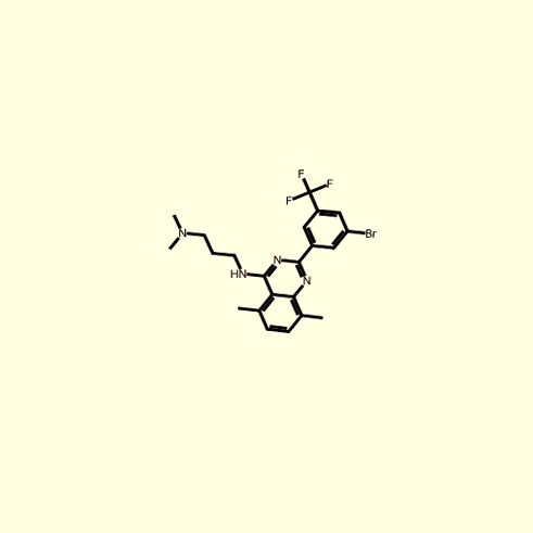 Cc1ccc(C)c2c(NCCCN(C)C)nc(-c3cc(Br)cc(C(F)(F)F)c3)nc12